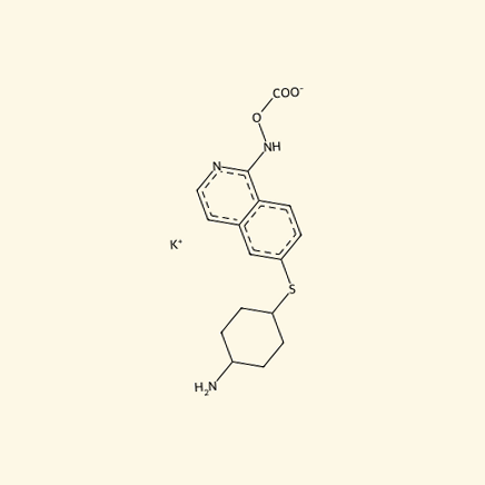 NC1CCC(Sc2ccc3c(NOC(=O)[O-])nccc3c2)CC1.[K+]